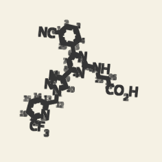 N#Cc1cccc(-c2cc(-c3cn(Cc4cccc(C(F)(F)F)n4)nn3)nc(NCCC(=O)O)n2)c1